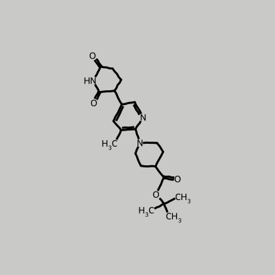 Cc1cc(C2CCC(=O)NC2=O)cnc1N1CCC(C(=O)OC(C)(C)C)CC1